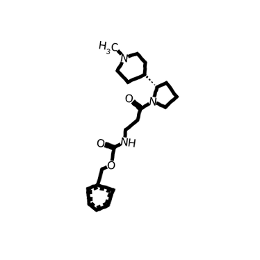 CN1CCC([C@@H]2CCCN2C(=O)CCNC(=O)OCc2ccccc2)CC1